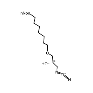 CCCCCCCCCCCCCCCCOC[C@@H](O)CN=[N+]=[N-]